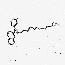 CCCCCCCCCCCCN(c1ccccc1)c1ccc2ccccc2c1